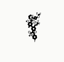 CNC(=O)c1c(-c2ccc(F)cc2)oc2cc(CCC(F)(F)F)c(-c3cc(C(=O)NC4(c5ncccn5)CC(OC(F)F)C4)c(OC)cc3C)cc12